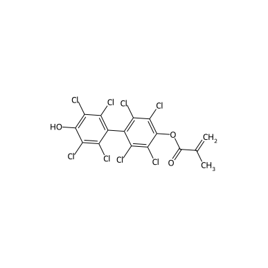 C=C(C)C(=O)Oc1c(Cl)c(Cl)c(-c2c(Cl)c(Cl)c(O)c(Cl)c2Cl)c(Cl)c1Cl